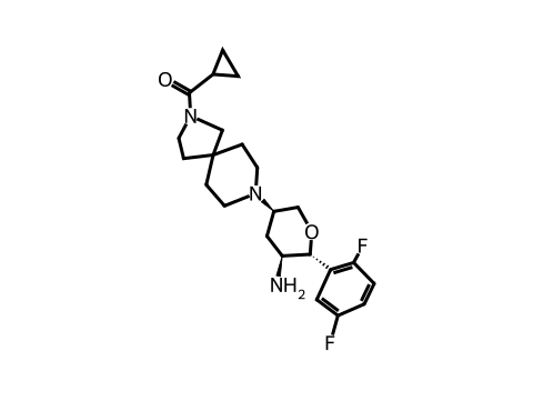 N[C@H]1C[C@@H](N2CCC3(CCN(C(=O)C4CC4)C3)CC2)CO[C@@H]1c1cc(F)ccc1F